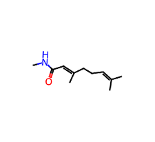 CNC(=O)/C=C(\C)CCC=C(C)C